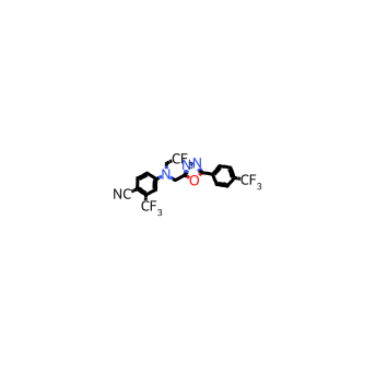 N#Cc1ccc(N(Cc2nnc(-c3ccc(C(F)(F)F)cc3)o2)CC(F)(F)F)cc1C(F)(F)F